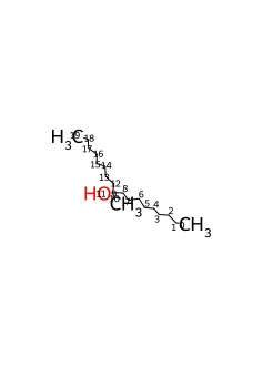 CCCCCCCCCC(C)(O)CCCCCCCC